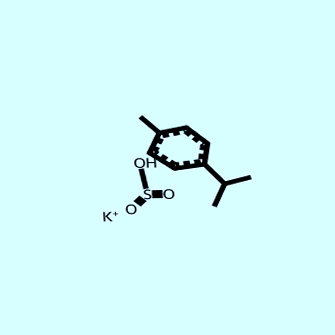 Cc1ccc(C(C)C)cc1.O=[S-](=O)O.[K+]